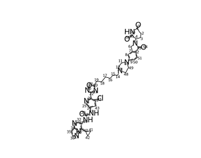 O=C1CCC(N2Cc3cc(N4CCN(CCCCCCc5nc(-c6ncc(NC(=O)Nc7cnc8ccnn8c7C7CC7)cc6Cl)no5)CC4)ccc3C2=O)C(=O)N1